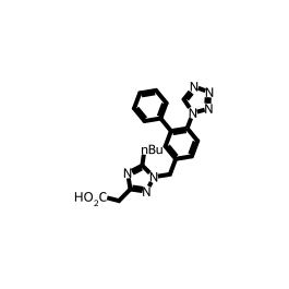 CCCCc1nc(CC(=O)O)nn1Cc1ccc(-n2cnnn2)c(-c2ccccc2)c1